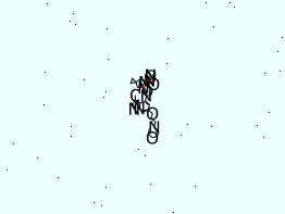 N#Cc1cnn2cc(OCCN3CCOCC3)cc(-c3ccc(N4CC5CC(C4)N5C(=O)N4CCC5(CC5)C4)nc3)c12